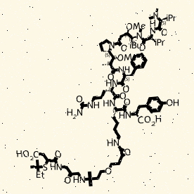 CC[C@H](C)[C@@H]([C@@H](CC(=O)N1CCC[C@H]1[C@H](OC)[C@@H](C)C(=O)N[C@@H](Cc1ccccc1)C(=O)N[C@@H](CCCNC(N)=O)C(=O)N[C@@H](CCCCNC1OC1CCOCCC(C)(C)NCC(=O)CNC(=O)C(CC(=O)O)SC(C)(C)CC)C(=O)N[C@@H](Cc1ccc(O)cc1)C(=O)O)OC)N(C)C(=O)[C@@H](NC(=O)[C@H](C(C)C)N(C)C)C(C)C